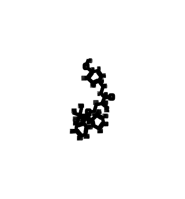 COc1ccc(CCC(=O)C(C)CCO[Si](c2ccccc2)(c2ccccc2)C(C)(C)C)cc1